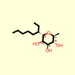 CCCCCC(CC)[C@@H]1O[C@@H](C)[C@H](O)[C@@H](O)[C@H]1O